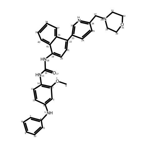 COc1cc(Nc2ccccc2)ccc1NC(=O)Nc1ccc(-c2ccc(CN3CCOCC3)nc2)c2ccccc12